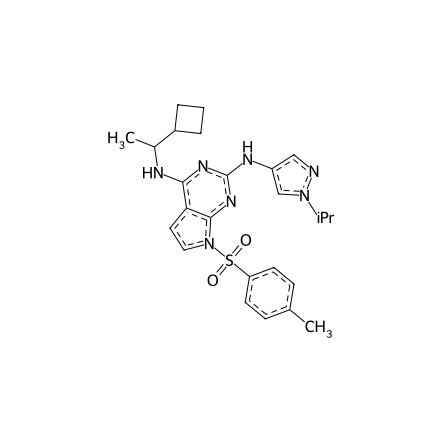 Cc1ccc(S(=O)(=O)n2ccc3c(NC(C)C4CCC4)nc(Nc4cnn(C(C)C)c4)nc32)cc1